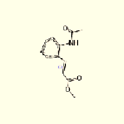 COC(=O)/C=C/c1ccccc1NC(C)=O